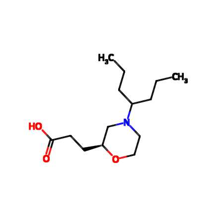 CCCC(CCC)N1CCO[C@@H](CCC(=O)O)C1